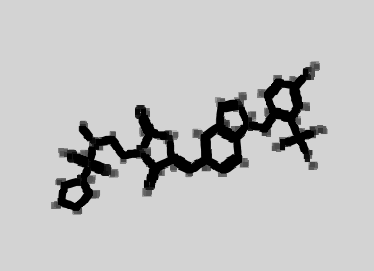 CN(CCN1C(=O)SC(=Cc2ccc3c(cnn3Cc3ccc(Cl)cc3C(F)(F)F)c2)C1=O)S(=O)(=O)N1CCCC1